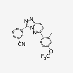 Cc1cc(OC(F)(F)F)ccc1-c1ccc2nnc(-c3cccc(C#N)c3)n2n1